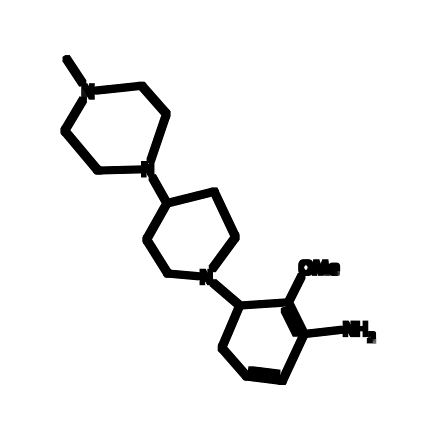 COC1=C(N)C=CCC1N1CCC(N2CCN(C)CC2)CC1